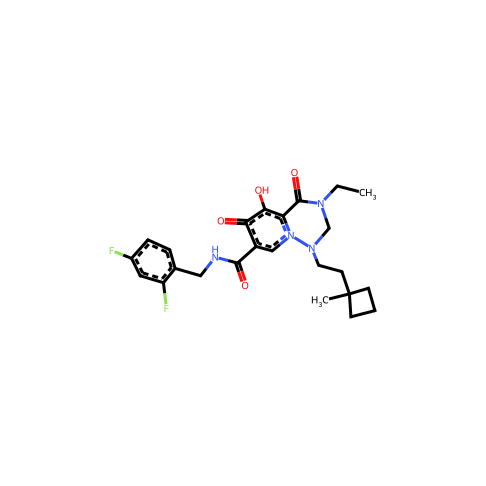 CCN1CN(CCC2(C)CCC2)n2cc(C(=O)NCc3ccc(F)cc3F)c(=O)c(O)c2C1=O